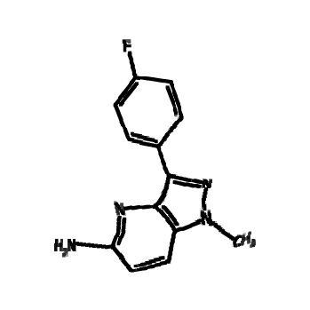 Cn1nc(-c2ccc(F)cc2)c2nc(N)ccc21